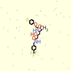 C=CC(CC(O)CC(=O)NCc1ccc(C(F)(F)F)cc1)NC(=O)COc1ccc(F)cc1